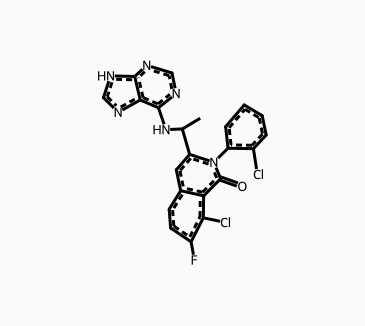 CC(Nc1ncnc2[nH]cnc12)c1cc2ccc(F)c(Cl)c2c(=O)n1-c1ccccc1Cl